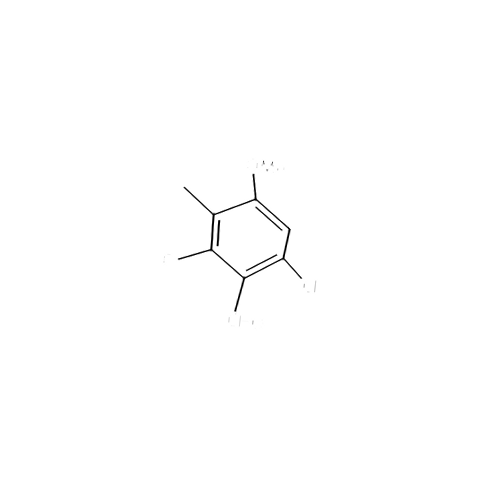 COc1cc(Cl)c(C=O)c(Cl)c1C